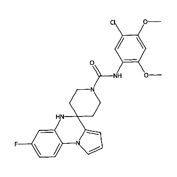 COc1cc(OC)c(NC(=O)N2CCC3(CC2)Nc2cc(F)ccc2-n2cccc23)cc1Cl